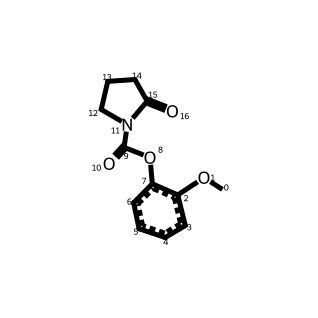 COc1ccccc1OC(=O)N1CCCC1=O